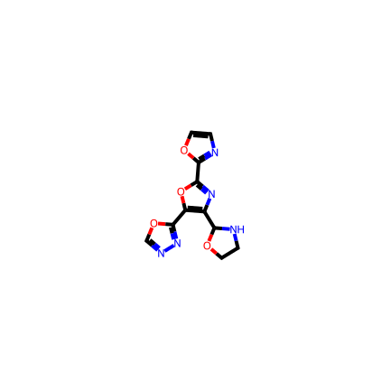 c1coc(-c2nc(C3NCCO3)c(-c3nnco3)o2)n1